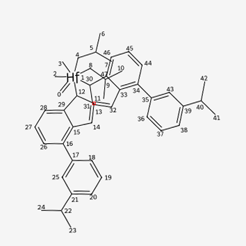 [CH2]=[Hf]([CH3])([CH3])([CH2]C(C)C)([CH2]C(C)C)([CH]1C=Cc2c(-c3cccc(C(C)C)c3)cccc21)[CH]1C=Cc2c(-c3cccc(C(C)C)c3)cccc21